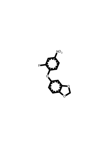 O=[N+]([O-])c1ccc(Oc2ccc3c(c2)OCO3)c(F)c1